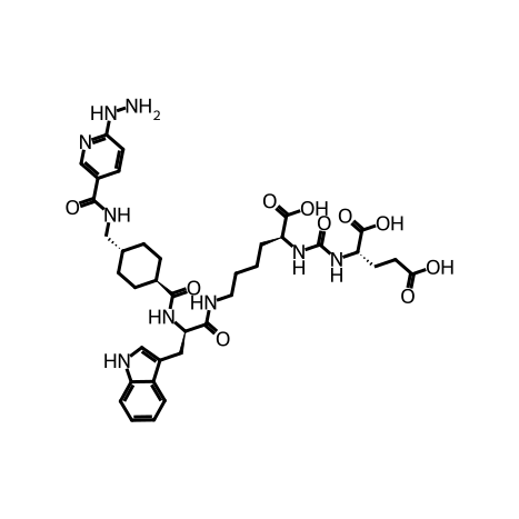 NNc1ccc(C(=O)NC[C@H]2CC[C@H](C(=O)N[C@H](Cc3c[nH]c4ccccc34)C(=O)NCCCC[C@H](NC(=O)N[C@@H](CCC(=O)O)C(=O)O)C(=O)O)CC2)cn1